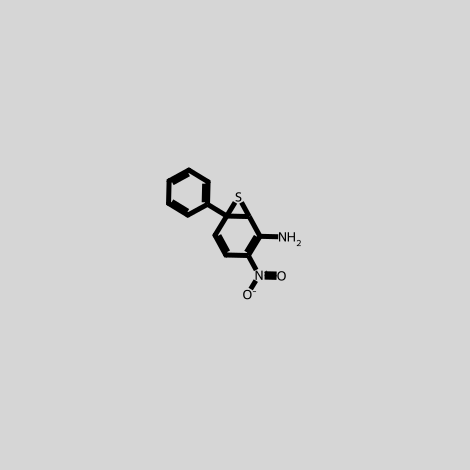 NC1=C([N+](=O)[O-])C=CC2(c3ccccc3)SC12